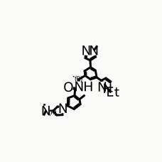 CCn1ccc(-c2cc(-c3cnn(C)c3)cc([C@@H](C)NC(=O)c3cc(N4CC[C@@H](N(C)C)C4)ccc3C)c2)n1